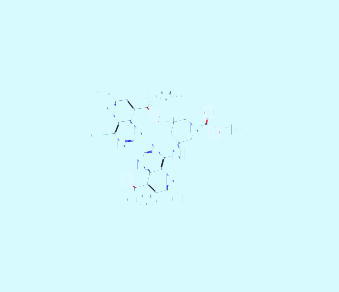 COC(=O)c1cc(Cl)nc2c(Cl)ncnc12.COC(=O)c1cc(Cl)nc2c(N[C@@H]3CN(C(=O)OC(C)(C)C)CC(F)(F)C3)ncnc12